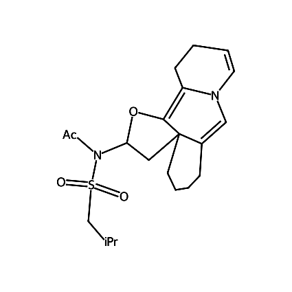 CC(=O)N(C1CC23CCCCC2=CN2C=CCCC2=C3O1)S(=O)(=O)CC(C)C